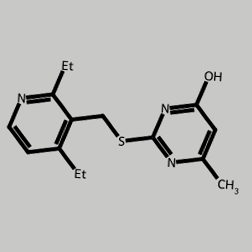 CCc1ccnc(CC)c1CSc1nc(C)cc(O)n1